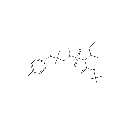 CCC(C)C(C(=O)OC(C)(C)C)S(=O)(=O)N(C)CC(C)(C)Oc1ccc(Cl)cc1